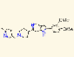 COc1ccc(-c2cc3cnc(C4CCN(Cc5ccc(C)nc5)CC4)cc3[nH]2)cc1OC